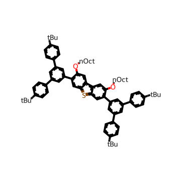 CCCCCCCCOc1cc2c(cc1-c1cc(-c3ccc(C(C)(C)C)cc3)cc(-c3ccc(C(C)(C)C)cc3)c1)sc1cc(-c3cc(-c4ccc(C(C)(C)C)cc4)cc(-c4ccc(C(C)(C)C)cc4)c3)c(OCCCCCCCC)cc12